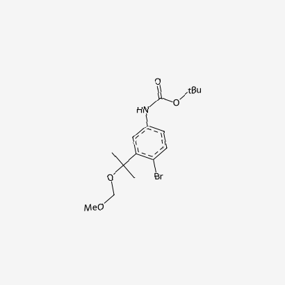 COCOC(C)(C)c1cc(NC(=O)OC(C)(C)C)ccc1Br